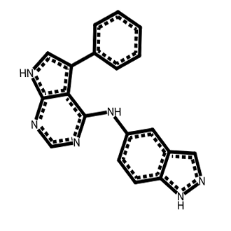 c1ccc(-c2c[nH]c3ncnc(Nc4ccc5[nH]ncc5c4)c23)cc1